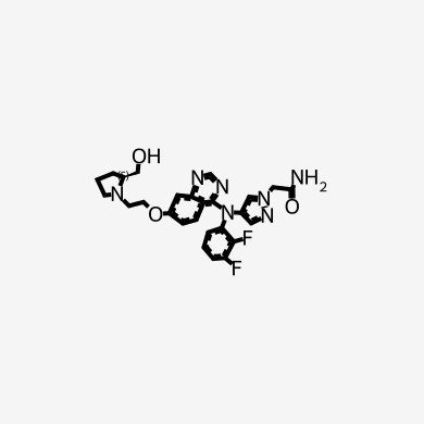 NC(=O)Cn1cc(N(c2cccc(F)c2F)c2ncnc3cc(OCCN4CCC[C@H]4CO)ccc23)cn1